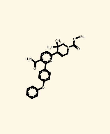 CC(C)(C)OC(=O)N1CC=C(c2ccc(C(N)=O)c(-c3ccc(Oc4ccccc4)cc3)n2)C(C)(C)C1